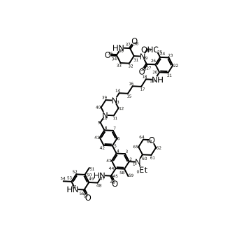 CCN(c1cc(-c2ccc(CN3CCN(CCCCCNc4cccc(C=O)c4C(=O)N(C)C4CCC(=O)NC4=O)CC3)cc2)cc(C(=O)NCc2c(C)cc(C)[nH]c2=O)c1C)C1CCOCC1